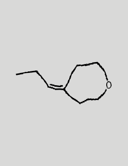 CCC=C1CCOCC1